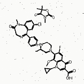 CN1C(=O)CN=C(c2ccccc2)c2cc(Cl)ccc21.CN1C(=O)OC(C)(C)C1=O.COc1c(N2CCNC(C)C2)c(F)cc2c(=O)c(C(=O)O)cn(C3CC3)c12